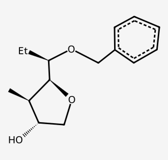 CC[C@@H](OCc1ccccc1)[C@H]1OC[C@H](O)[C@H]1C